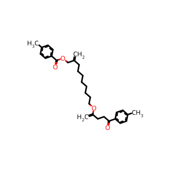 C=C(CCCCCCCCOC(=C)CCC(=O)c1ccc(C)cc1)COC(=O)c1ccc(C)cc1